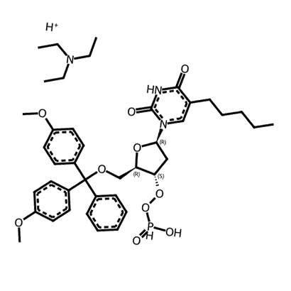 CCCCCc1cn([C@H]2C[C@H](OO[PH](=O)O)[C@@H](COC(c3ccccc3)(c3ccc(OC)cc3)c3ccc(OC)cc3)O2)c(=O)[nH]c1=O.CCN(CC)CC.[H+]